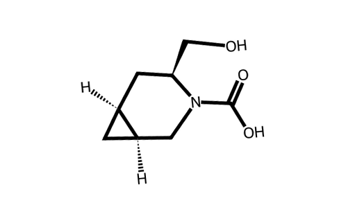 O=C(O)N1C[C@H]2C[C@H]2C[C@H]1CO